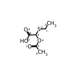 CCSC(OC(C)=O)C(=O)O